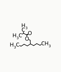 CCCCC(CCCC)COC(=O)C(C)C